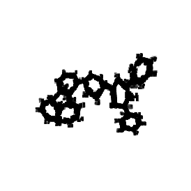 C1=C(c2ccc(-c3cccc4c3-c3cccc5cccc-4c35)cc2)C=C(c2ccccn2)NC1c1ccccn1